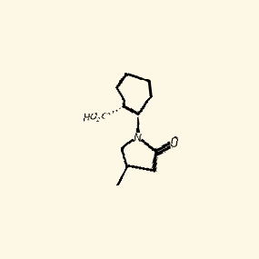 CC1CC(=O)N([C@@H]2CCCC[C@H]2C(=O)O)C1